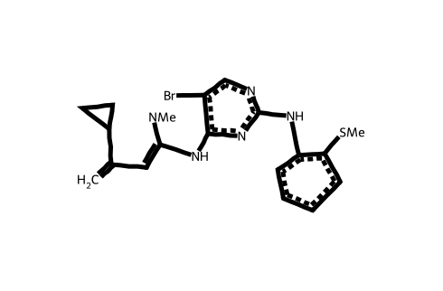 C=C(/C=C(\NC)Nc1nc(Nc2ccccc2SC)ncc1Br)C1CC1